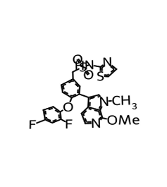 COc1nccc2c(-c3cc(CS(=O)(=O)Nc4nccs4)ccc3Oc3ccc(F)cc3F)cn(C)c12